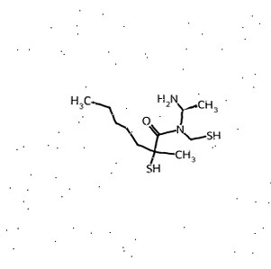 CCCCCC(C)(S)C(=O)N(CS)[C@H](C)N